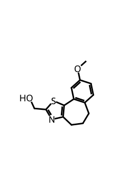 COc1ccc2c(c1)-c1sc(CO)nc1CCC2